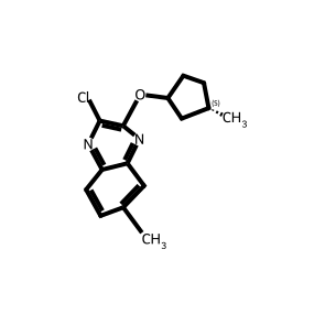 Cc1ccc2nc(Cl)c(OC3CC[C@H](C)C3)nc2c1